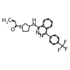 C=CC(=O)N1CCC(Nc2nnc(-c3ccc(C(F)(F)F)cc3)c3ccccc23)C1